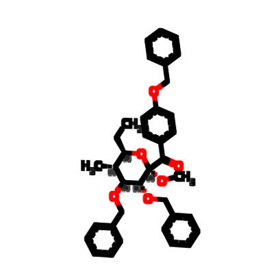 CC[C@H]1O[C@@](OC)(C(=O)c2ccc(OCc3ccccc3)cc2)[C@H](OCc2ccccc2)[C@@H](OCc2ccccc2)[C@@H]1C